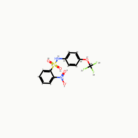 O=[N+]([O-])c1ccccc1S(=O)(=O)Nc1ccc(OC(F)(F)F)cc1